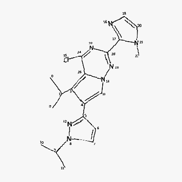 CC(C)c1c(-c2ccn(C(C)C)n2)cn2nc(-c3nccn3C)nc(Cl)c12